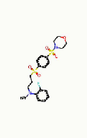 CCCN(CCCS(=O)(=O)c1ccc(S(=O)(=O)N2CCOCC2)cc1)c1ccccc1F